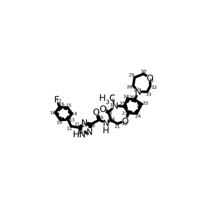 CN1C(=O)[C@H](NC(=O)c2n[nH]c(Cc3ccc(F)cc3)n2)COc2ccc(N3CCCOCC3)cc21